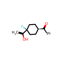 C=C(O)[C@]1(F)CC[C@@H](C(=O)C(C)C)CC1